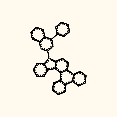 c1ccc(-c2nc(-n3c4ccccc4c4c5c6ccccc6c6ccccc6c5ccc43)nc3ccccc23)cc1